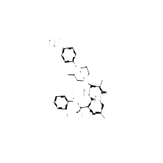 Cc1cc(C(C)Nc2ccccc2C(=O)O)c2nc(N3CCN(c4ccc(C#N)cc4)C(C)C3)c(C)c(=O)n2c1